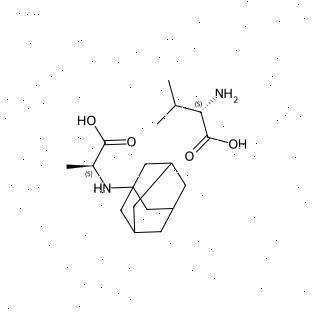 CC(C)[C@H](N)C(=O)O.C[C@H](NC12CC3CC(CC(C3)C1)C2)C(=O)O